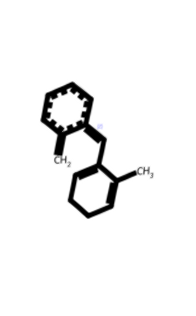 C=c1cccc/c1=C/C1=CCCC=C1C